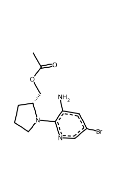 CC(=O)OC[C@H]1CCCN1c1ncc(Br)cc1N